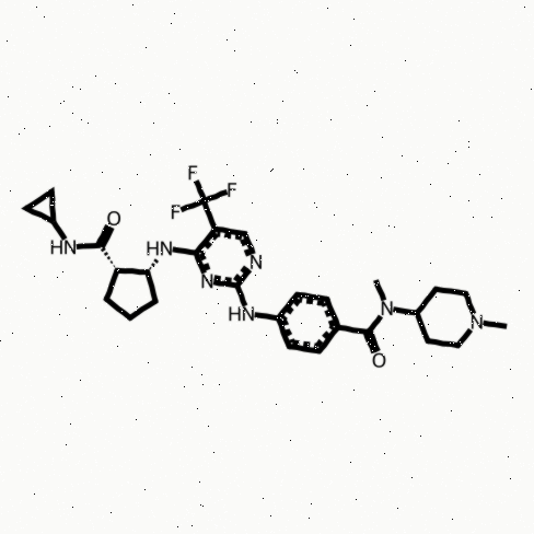 CN1CCC(N(C)C(=O)c2ccc(Nc3ncc(C(F)(F)F)c(N[C@@H]4CCC[C@@H]4C(=O)NC4CC4)n3)cc2)CC1